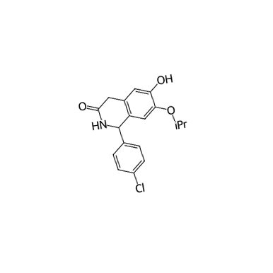 CC(C)Oc1cc2c(cc1O)CC(=O)NC2c1ccc(Cl)cc1